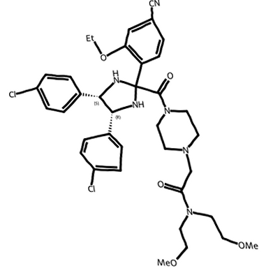 CCOc1cc(C#N)ccc1C1(C(=O)N2CCN(CC(=O)N(CCOC)CCOC)CC2)N[C@H](c2ccc(Cl)cc2)[C@H](c2ccc(Cl)cc2)N1